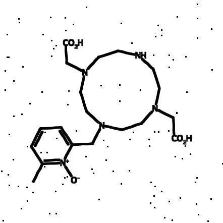 Cc1cccc(CN2CCN(CC(=O)O)CCNCCN(CC(=O)O)CC2)[n+]1[O-]